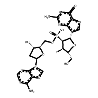 Nc1nc2c(ncn2[C@@H]2O[C@H](CO)[C@@H](F)[C@H]2[P@](=O)(S)OC[C@H]2O[C@@H](n3cnc4c(N)ncnc43)C[C@@H]2O)c(=O)[nH]1